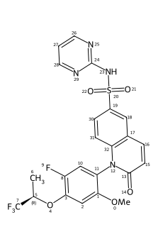 COc1cc(O[C@H](C)C(F)(F)F)c(F)cc1-n1c(=O)ccc2cc(S(=O)(=O)Nc3ncccn3)ccc21